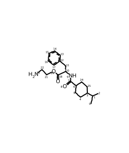 CC(C)C1CCC(C(=O)N[C@H](Cc2ccccc2)C(=O)OCCN)CC1